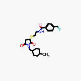 CC1CCC(CN2C(=O)CC(SCCNC(=O)c3ccc(CF)cc3)C2=O)CC1